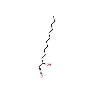 CCCCCCCCCCCC(O)C=C=O